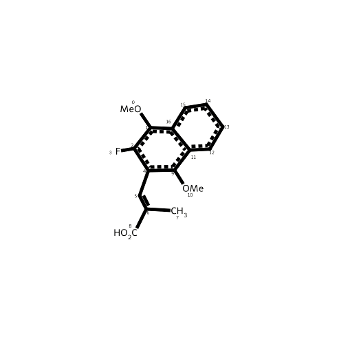 COc1c(F)c(C=C(C)C(=O)O)c(OC)c2ccccc12